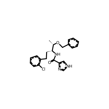 C[C@H](OCc1ccccc1)[C@@H](CCc1ccccc1Cl)NC(=O)c1c[nH]cn1